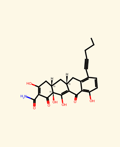 CCCC#Cc1ccc(O)c2c1C[C@H]1C[C@H]3CC(O)=C(C(N)=O)C(=O)[C@@]3(O)C(O)=C1C2=O